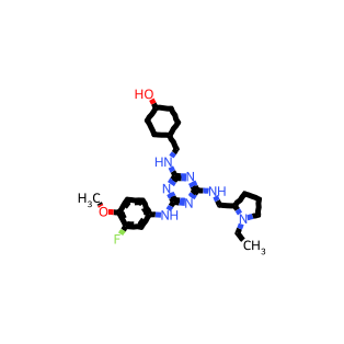 CCN1CCCC1CNc1nc(NCC2CCC(O)CC2)nc(Nc2ccc(OC)c(F)c2)n1